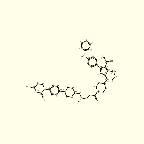 CN(CCC(=O)N1CCC([C@@H]2CCNc3c(C(N)=O)c(-c4ccc(Oc5ccccc5)cc4)nn32)CC1)CC1CCN(c2ccc(N3CCC(=O)NC3=O)cc2)CC1